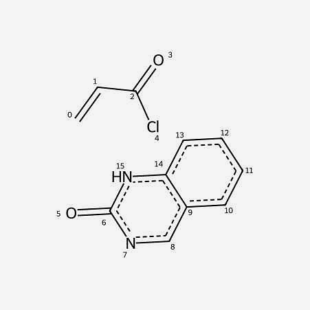 C=CC(=O)Cl.O=c1ncc2ccccc2[nH]1